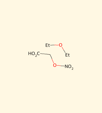 CCOCC.O=C(O)CO[N+](=O)[O-]